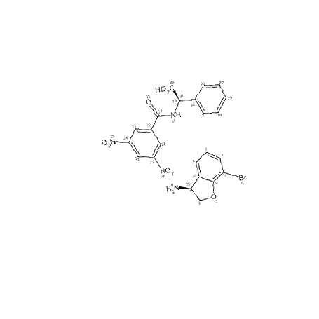 N[C@@H]1COc2c(Br)cccc21.O=C(N[C@@H](C(=O)O)c1ccccc1)c1cc([N+](=O)[O-])cc([N+](=O)[O-])c1